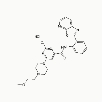 COCCN1CCN(c2cc(C(=O)Nc3ccccc3-c3nc4cccnc4s3)nc(Cl)n2)CC1.Cl